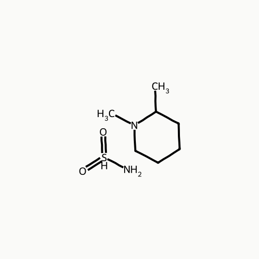 CC1CCCCN1C.N[SH](=O)=O